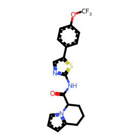 O=C(Nc1ncc(-c2ccc(OC(F)(F)F)cc2)s1)C1CCCc2cccn21